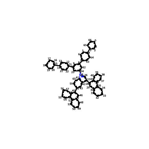 c1ccc(-c2ccc(-c3cc(-c4ccc(-c5ccccc5)cc4)cc(-n4cc(-c5cc6ccccc6c6ccccc56)c5cc(-c6cc7ccccc7c7ccccc67)ccc54)c3)cc2)cc1